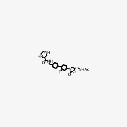 CC(=O)NC[C@H]1CN(c2ccc(-c3ccc(CNC(=O)C4CNCCN4)cc3)c(F)c2)C(=O)O1